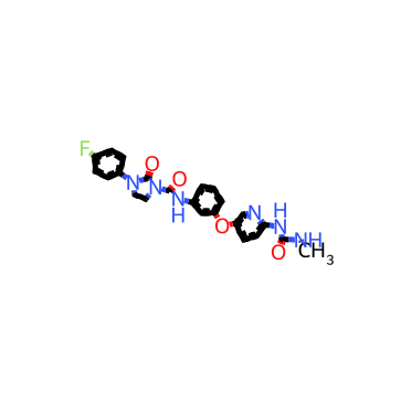 CNC(=O)Nc1ccc(Oc2cccc(NC(=O)N3CCN(c4ccc(F)cc4)C3=O)c2)cn1